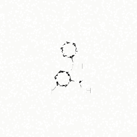 O=C(O)c1cc(Cl)ccc1Nc1ccccc1